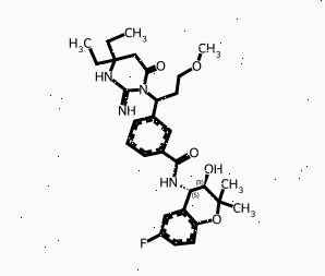 CCC1(CC)CC(=O)N(C(CCOC)c2cccc(C(=O)N[C@H]3c4cc(F)ccc4OC(C)(C)[C@@H]3O)c2)C(=N)N1